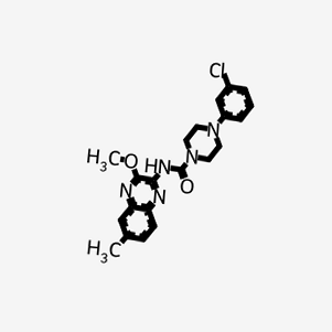 COc1nc2cc(C)ccc2nc1NC(=O)N1CCN(c2cccc(Cl)c2)CC1